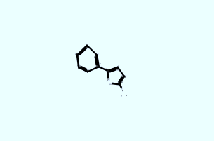 Nc1ccc(-c2ccccc2)s1